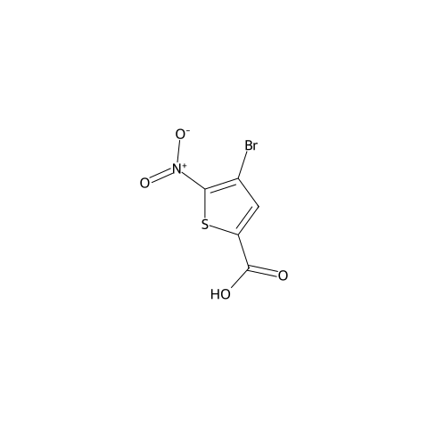 O=C(O)c1cc(Br)c([N+](=O)[O-])s1